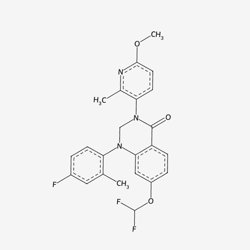 COc1ccc(N2CN(c3ccc(F)cc3C)c3cc(OC(F)F)ccc3C2=O)c(C)n1